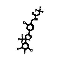 O=C(CC(F)(F)F)NCc1ccc(C2=NSC(c3cc(Cl)c(F)c(Cl)c3)(C(F)(F)F)C2)cc1Cl